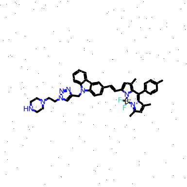 CC1=CC(C)=[N+]2C1=C(c1ccc(C)cc1)c1c(C)cc(/C=C/c3ccc4c(c3)c3ccccc3n4Cc3cn(CCN4CCNCC4)nn3)n1[B-]2(F)F